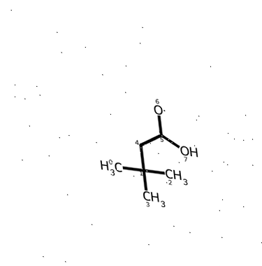 CC(C)(C)CC([O])O